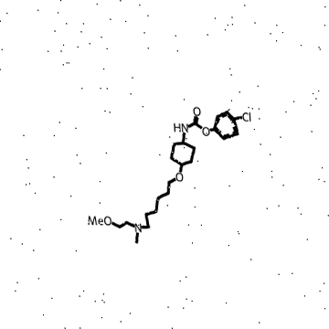 COCCN(C)CCCCCCOC1CCC(NC(=O)Oc2ccc(Cl)cc2)CC1